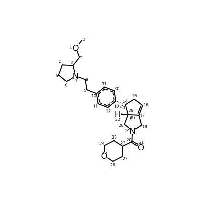 COCC1CCCN1CCc1ccc([C@@H]2CC=C3CN(C(=O)C4CCOCC4)C[C@@H]32)cc1